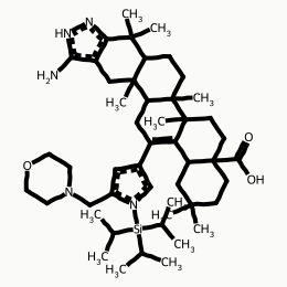 CC(C)[Si](C(C)C)(C(C)C)n1cc(C2=C3C4CC(C)(C)CCC4(C(=O)O)CCC3(C)C3(C)CCC4C(C)(C)c5n[nH]c(N)c5CC4(C)C3C2)cc1CN1CCOCC1